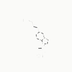 CC(C)(C)OC(=O)n1ccc2cc(/C=C/CO)ccc21